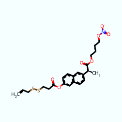 C=CCSSCCC(=O)Oc1ccc2cc([C@H](C)C(=O)OCCCCO[N+](=O)[O-])ccc2c1